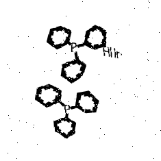 I.[Ir].c1ccc(P(c2ccccc2)c2ccccc2)cc1.c1ccc(P(c2ccccc2)c2ccccc2)cc1